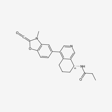 CCC(=O)N[C@@H]1CCCc2c(-c3ccc4c(c3)N(C)C(=C=O)O4)cncc21